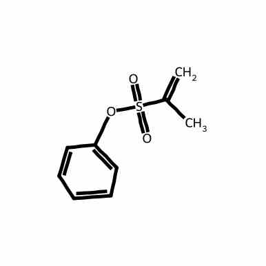 C=C(C)S(=O)(=O)Oc1ccccc1